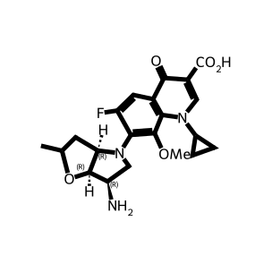 COc1c(N2C[C@@H](N)[C@H]3OC(C)C[C@H]32)c(F)cc2c(=O)c(C(=O)O)cn(C3CC3)c12